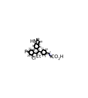 CCC(=C(c1ccc(/C=C/C(=O)O)cc1)c1ccc2[nH]ncc2c1)c1ccc(F)cc1Cl